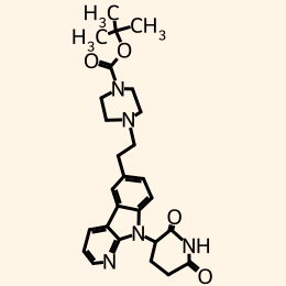 CC(C)(C)OC(=O)N1CCN(CCc2ccc3c(c2)c2cccnc2n3C2CCC(=O)NC2=O)CC1